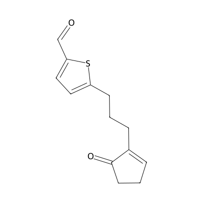 O=Cc1ccc(CCCC2=CCCC2=O)s1